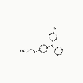 CCOC(=O)COc1ccc(N(c2ccccc2)c2ccc(Br)cc2)cc1